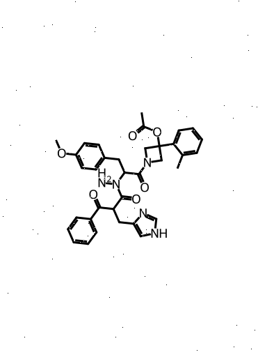 COc1ccc(CC(C(=O)N2CC(OC(C)=O)(c3ccccc3C)C2)N(N)C(=O)C(Cc2c[nH]cn2)C(=O)c2ccccc2)cc1